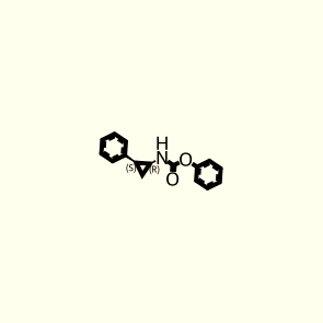 O=C(N[C@@H]1C[C@H]1c1ccccc1)Oc1ccccc1